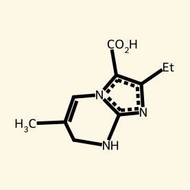 CCc1nc2n(c1C(=O)O)C=C(C)CN2